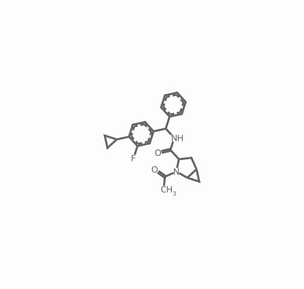 CC(=O)N1C(C(=O)NC(c2ccccc2)c2ccc(C3CC3)c(F)c2)CC2CC21